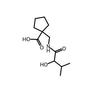 CC(C)C(O)C(=O)NCC1(C(=O)O)CCCC1